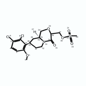 COc1ccc(Cl)c(Cl)c1[C@@H]1CCN2C(=O)C(COS(C)(=O)=O)OC[C@@H]2C1